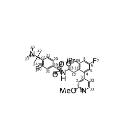 COc1cc(-c2cc(F)cc(C(C)C)c2CC(=O)NS(=O)(=O)c2ccc(C(C)(C)N(C)C)c(F)c2)ccn1